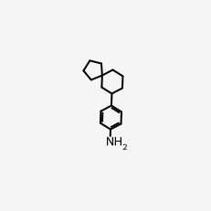 Nc1ccc(C2CCCC3(CCCC3)C2)cc1